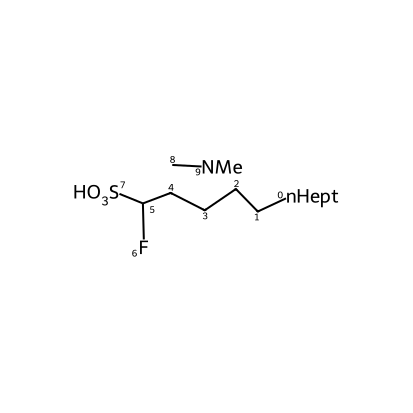 CCCCCCCCCCCC(F)S(=O)(=O)O.CNC